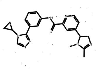 CC1=NCC(c2ccnc(C(=O)Nc3cccc(-c4nncn4C4CC4)c3)c2)N1C